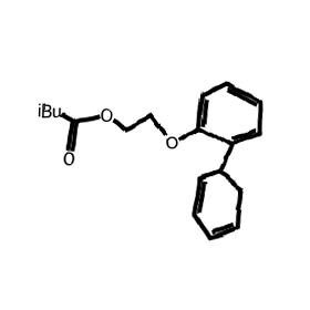 CCC(C)C(=O)OCCOc1ccccc1C1C=CC=CC1